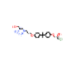 CC(C)(c1ccc(OCCCN(N)/C=C(\N)CO)cc1)c1ccc(OC[C@@H](O)CCl)cc1